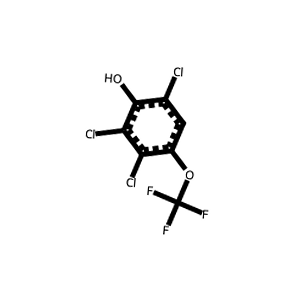 Oc1c(Cl)cc(OC(F)(F)F)c(Cl)c1Cl